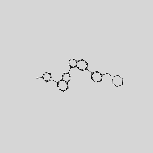 Cc1cn(-c2nccc3[nH]c(-c4n[nH]c5ccc(-c6cncc(CN7CCCCC7)c6)cc45)nc23)cn1